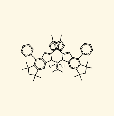 Cc1ccc(C2=Cc3c(cc4c(c3-c3ccccc3)C(C)(C)CC4(C)C)[CH]2[Zr]([Cl])([Cl])([CH]2C(c3ccc(C)o3)=Cc3c2cc2c(c3-c3ccccc3)C(C)(C)CC2(C)C)=[Si](C)C)o1